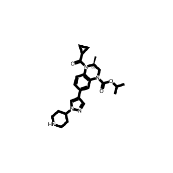 CC(C)OC(=O)N1C[C@H](C)N(C(=O)C2CC2)c2ccc(-c3cnn(C4CCNCC4)c3)cc21